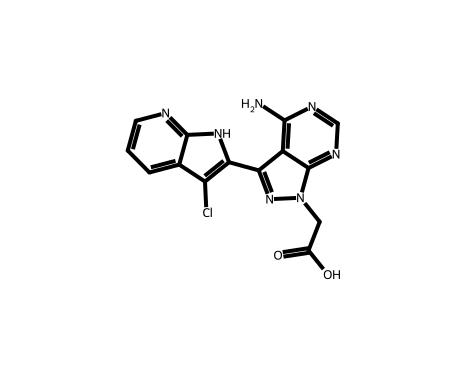 Nc1ncnc2c1c(-c1[nH]c3ncccc3c1Cl)nn2CC(=O)O